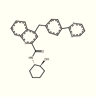 O=C(N[C@H]1CCCC[C@@H]1O)c1cc(Cc2ccc(-c3ncccn3)cc2)c2ccccc2n1